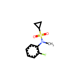 CN(c1ccccc1F)S(=O)(=O)C1CC1